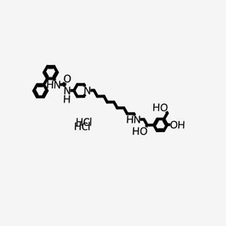 Cl.Cl.O=C(Nc1ccccc1-c1ccccc1)NC1CCN(CCCCCCCCCNCC(O)c2ccc(O)c(CO)c2)CC1